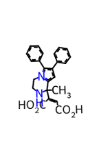 CC1(C(=CC(=O)O)C(=O)O)NCCn2c1cc(-c1ccccc1)c2-c1ccccc1